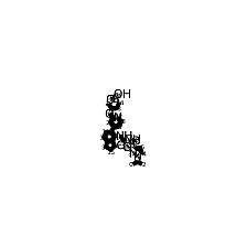 CC(C)n1ccc(S(=O)(=O)NC(=O)Nc2c(-c3ccnc(OC4CCB(O)OC4)c3)ccc3c2CCC3)n1